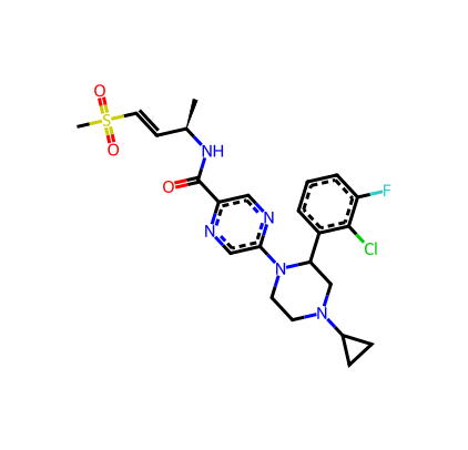 C[C@H](/C=C/S(C)(=O)=O)NC(=O)c1cnc(N2CCN(C3CC3)CC2c2cccc(F)c2Cl)cn1